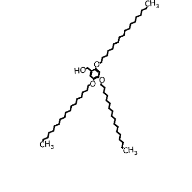 CCCCCCCCCCCCCCCCCCOc1cc(OCCCCCCCCCCCCCCCCCC)c(OCCCCCCCCCCCCCCCCCC)cc1CO